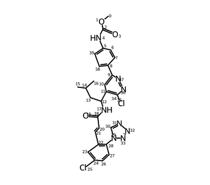 COC(=O)Nc1ccc(-c2cc(C(CC(C)C)NC(=O)C=Cc3cc(Cl)ccc3-n3cnnn3)c(Cl)nn2)cc1